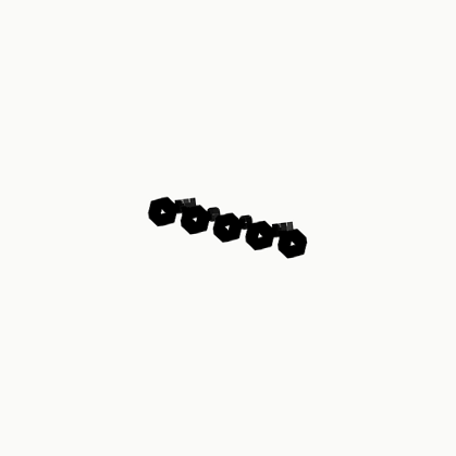 c1ccc(Nc2cccc(Oc3cccc(Oc4cccc(Nc5ccccc5)c4)c3)c2)cc1